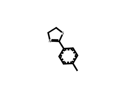 Cc1ccc(C2=NCCS2)cc1